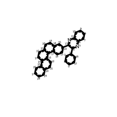 c1ccc(-c2nc3ccccc3nc2-c2ccc3c(ccc4ccc5c6ccccc6ccc5c43)c2)cc1